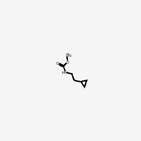 CC(C)(C)OC(=O)NCCC1CC1